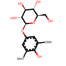 COc1cc(O[C@@H]2O[C@H](CO)[C@@H](O)[C@H](O)[C@H]2O)cc(OC)c1O